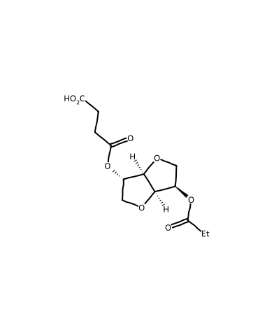 CCC(=O)O[C@@H]1CO[C@H]2[C@@H]1OC[C@@H]2OC(=O)CCC(=O)O